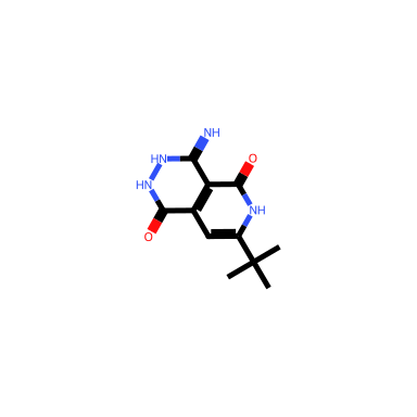 CC(C)(C)c1cc2c(=O)[nH][nH]c(=N)c2c(=O)[nH]1